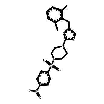 Cc1cccc(C)c1Cc1csc(N2CCN(S(=O)(=O)c3ccc([N+](=O)[O-])cc3)CC2)n1